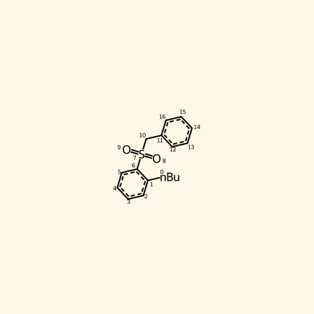 CCCCc1ccccc1S(=O)(=O)Cc1ccccc1